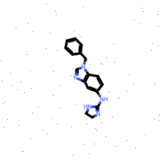 c1ccc(Cn2cnc3cc(NC4=NCCN4)ccc32)cc1